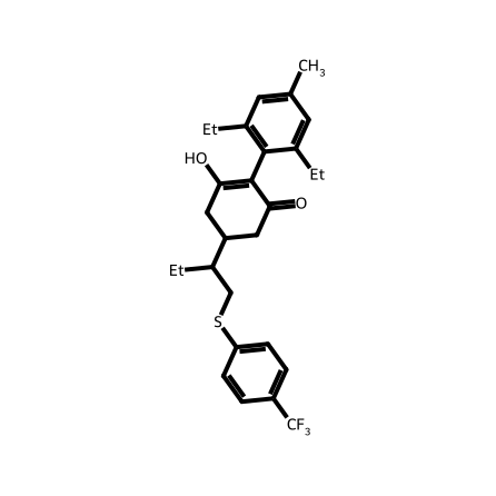 CCc1cc(C)cc(CC)c1C1=C(O)CC(C(CC)CSc2ccc(C(F)(F)F)cc2)CC1=O